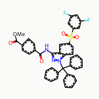 COC(=O)c1ccc(C(=O)Nc2nn(C(c3ccccc3)(c3ccccc3)c3ccccc3)c3ccc(S(=O)(=O)c4cc(F)cc(F)c4)cc23)cc1